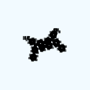 Cc1ccc(N(c2ccc(-c3ccccc3)cc2)c2ccc3c4ccc(N(c5ccc(C)cc5)c5ccc(-c6ccccc6)cc5)c5cccc(c6cccc2c63)c54)cc1